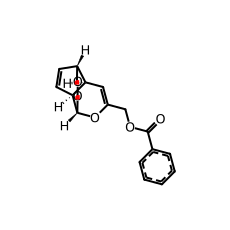 O=C(OCC1=C[C@H]2[C@@H]3C=C[C@H]2COCO[C@@H]3O1)c1ccccc1